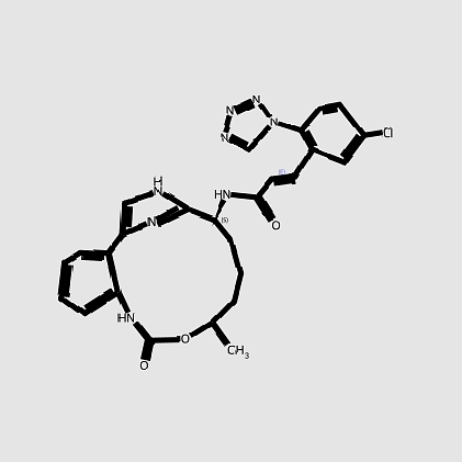 CC1CCC[C@H](NC(=O)/C=C/c2cc(Cl)ccc2-n2cnnn2)c2nc(c[nH]2)-c2ccccc2NC(=O)O1